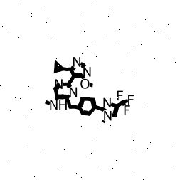 CNc1cnc(-c2c(OC)ncnc2C2CC2)nc1Cc1ccc(-c2nc(C(F)(F)F)cn2C)cc1